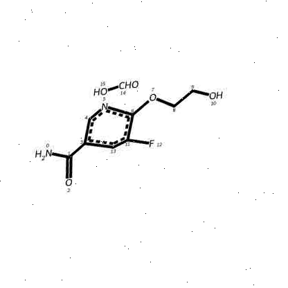 NC(=O)c1cnc(OCCO)c(F)c1.O=CO